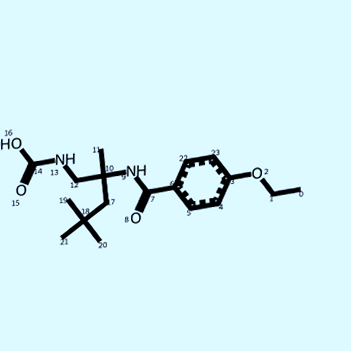 CCOc1ccc(C(=O)NC(C)(CNC(=O)O)CC(C)(C)C)cc1